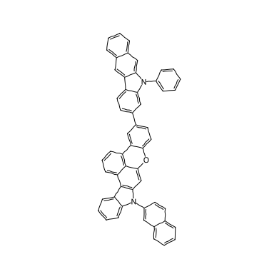 c1ccc(-n2c3cc(-c4ccc5c(c4)-c4cccc6c4c(cc4c6c6ccccc6n4-c4ccc6ccccc6c4)O5)ccc3c3cc4ccccc4cc32)cc1